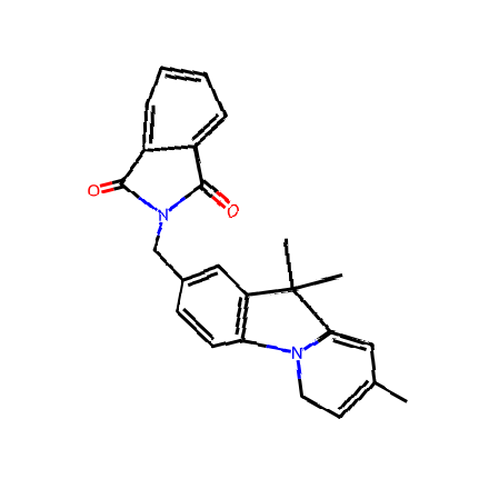 CC1=CCN2C(=C1)C(C)(C)c1cc(CN3C(=O)c4ccccc4C3=O)ccc12